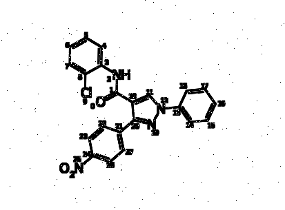 O=C(Nc1ccccc1Cl)c1cn(-c2ccccc2)nc1-c1ccc([N+](=O)[O-])cc1